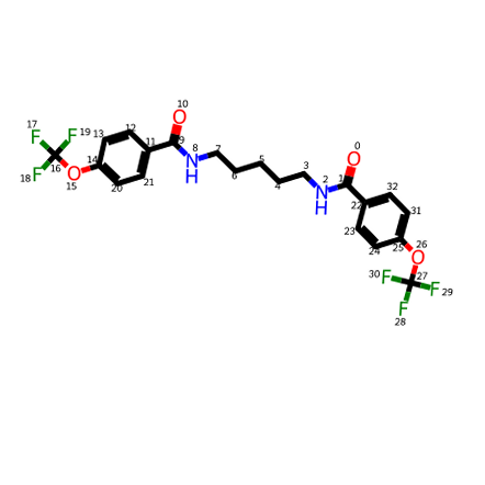 O=C(NCCCCCNC(=O)c1ccc(OC(F)(F)F)cc1)c1ccc(OC(F)(F)F)cc1